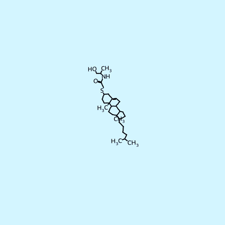 CC(C)CCCCC1CCC2C3CC=C4CC(SCC(=O)NC(C)CO)CCC4(C)C3CCC12C